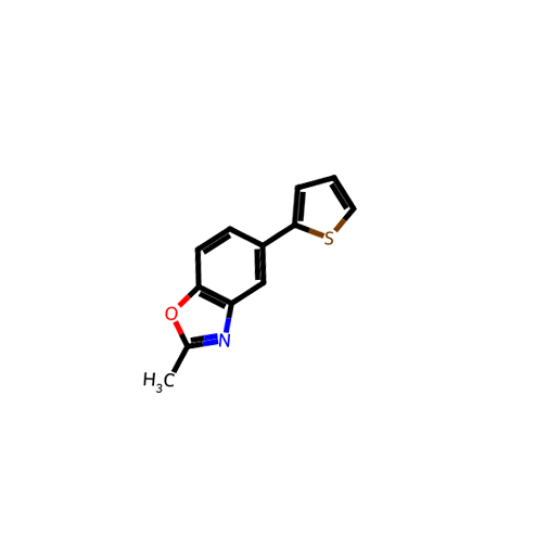 Cc1nc2cc(-c3cccs3)ccc2o1